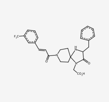 O=C(O)CN1C(=O)C(Cc2ccccc2)NC12CCN(C(=O)C=Cc1cccc(C(F)(F)F)c1)CC2